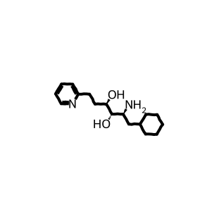 N[C@@H](CC1CCCCC1)[C@H](O)[C@H](O)CCc1ccccn1